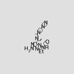 C=C/C(=N\C=C(/C)N1CCC(N2CCN(C)CC2)CC1)c1cnc(N)c2nc(CC)c(NC3CCOCC3)nc12